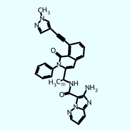 C[C@H](NC(=O)c1c(N)nc2cccnn12)c1cc2cccc(C#Cc3cnn(C)c3)c2c(=O)n1-c1ccccc1